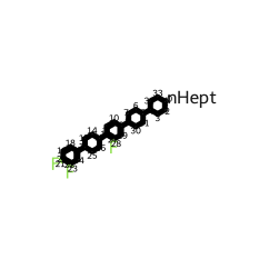 CCCCCCCC1CCC(C2CCC(c3ccc(C4CCC(c5ccc(F)c(F)c5)CC4)c(F)c3)CC2)CC1